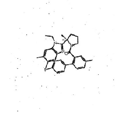 CCn1c([C@]2(C)CCCN2C(=O)c2cc(C)ccc2-c2ccc(F)cc2)nc2cc(C)c(C)cc21